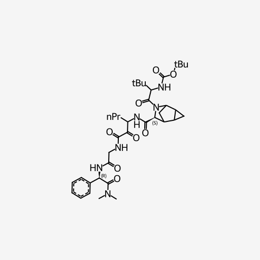 CCCC(NC(=O)[C@@H]1C2CC(C3CC32)N1C(=O)C(NC(=O)OC(C)(C)C)C(C)(C)C)C(=O)C(=O)NCC(=O)N[C@@H](C(=O)N(C)C)c1ccccc1